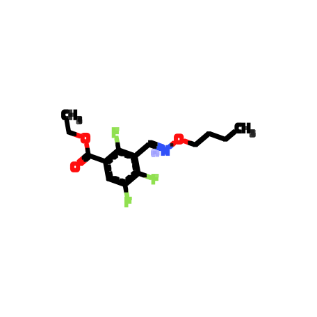 CCCCO/N=C/c1c(F)c(F)cc(C(=O)OCC)c1F